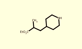 CCOC(=O)C(C)CC1CCNCC1